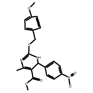 COC(=O)C1=C(C)N=C(SCc2ccc(OC)cc2)NC1c1ccc([N+](=O)[O-])cc1